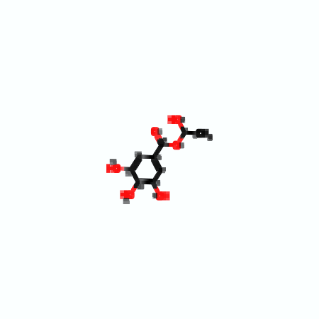 CC(O)OC(=O)c1cc(O)c(O)c(O)c1